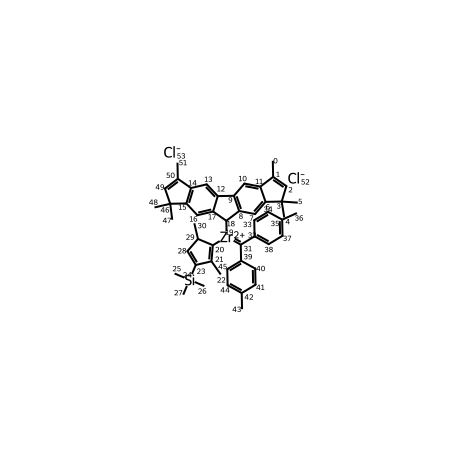 CC1=CC(C)(C)c2cc3c(cc21)-c1cc2c(cc1[CH]3[Zr+2]([C]1=C(C)C([Si](C)(C)C)=CC1C)=[C](c1ccc(C)cc1)c1ccc(C)cc1)C(C)(C)C=C2C.[Cl-].[Cl-]